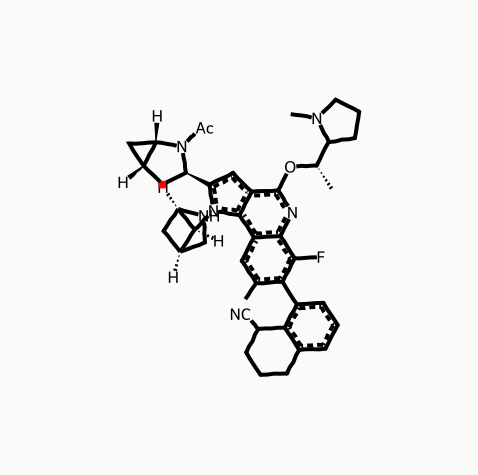 CC(=O)N1[C@@H](c2cc3c(O[C@@H](C)C4CCCN4C)nc4c(F)c(-c5cccc6c5C(C#N)CCC6)c(C)cc4c3n2[C@H]2[C@H]3CN[C@@H]2C3)C[C@@H]2C[C@@H]21